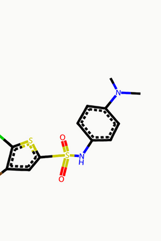 CN(C)c1ccc(NS(=O)(=O)c2cc(Br)c(Cl)s2)cc1